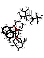 Cc1nc2ccccc2n1C1C[C@H]2CC[C@@H](C1)N2CCC1(c2cccc(F)c2)CCN(C(=O)C(C)(NC(=O)C(F)(F)F)C(C)C)CC1